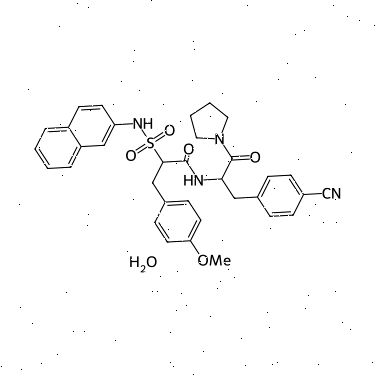 COc1ccc(CC(C(=O)NC(Cc2ccc(C#N)cc2)C(=O)N2CCCC2)S(=O)(=O)Nc2ccc3ccccc3c2)cc1.O